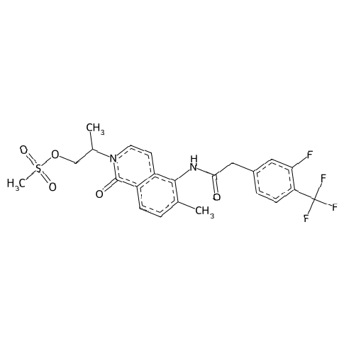 Cc1ccc2c(=O)n(C(C)COS(C)(=O)=O)ccc2c1NC(=O)Cc1ccc(C(F)(F)F)c(F)c1